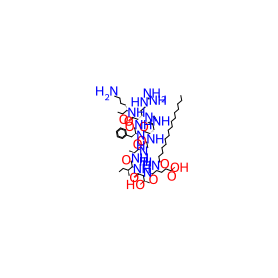 CCCCCCCCCCCCCCCC(=O)NC(CCC(=O)O)C(=O)N[C@H](C(=O)N[C@H](C(=O)N[C@@H](C)C(=O)NCC(=O)N[C@@H](Cc1cnc[nH]1)C(=O)N[C@@H](Cc1ccccc1)C(=O)N[C@@H](CCCNC(=N)N)C(=O)N[C@@H](CCCCN)C(C)=O)[C@@H](C)CC)[C@@H](C)O